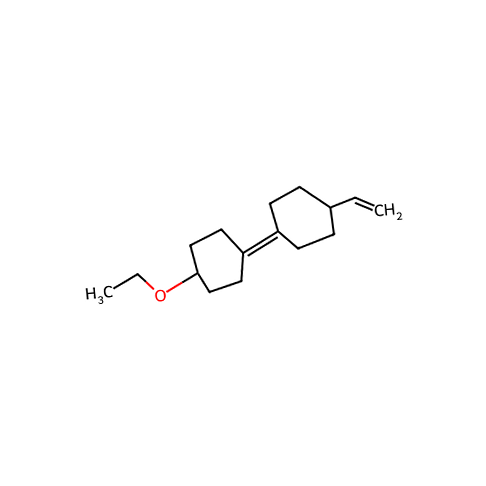 C=CC1CCC(=C2CCC(OCC)CC2)CC1